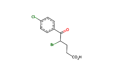 O=C(O)CCC(Br)C(=O)c1ccc(Cl)cc1